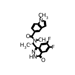 C[C@@H](c1n[nH]c(=O)c2cc(F)c(F)cc12)N(C)C(=O)c1ccc2c(ccn2C)c1